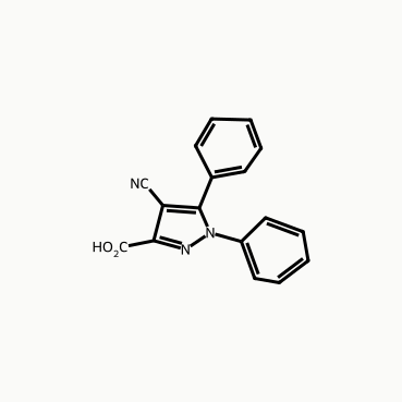 N#Cc1c(C(=O)O)nn(-c2ccccc2)c1-c1ccccc1